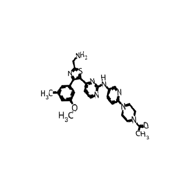 COc1cc(C)cc(-c2nc(CN)sc2-c2ccnc(Nc3ccc(N4CCN(C(C)=O)CC4)nc3)n2)c1